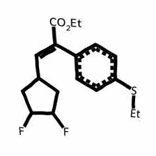 CCOC(=O)/C(=C/C1CC(F)C(F)C1)c1ccc(SCC)cc1